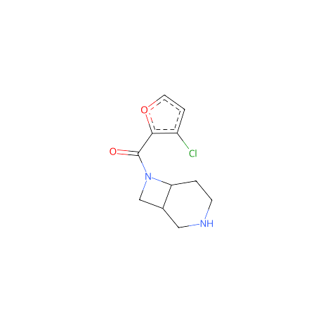 O=C(c1occc1Cl)N1CC2CNCCC21